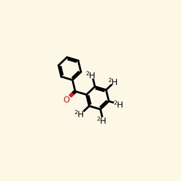 [2H]c1c([2H])c([2H])c(C(=O)c2ccccc2)c([2H])c1[2H]